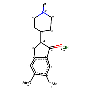 COc1cc2c(cc1OC)C(=O)C(C1CCN(C)CC1)C2.Cl